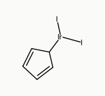 [I][Ir]([I])[CH]1C=CC=C1